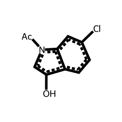 CC(=O)n1cc(O)c2ccc(Cl)cc21